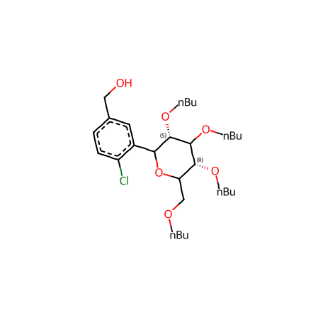 CCCCOCC1OC(c2cc(CO)ccc2Cl)[C@H](OCCCC)C(OCCCC)[C@@H]1OCCCC